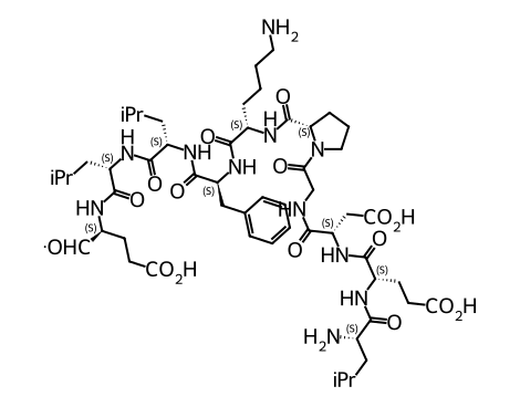 CC(C)C[C@H](NC(=O)[C@H](CC(C)C)NC(=O)[C@H](Cc1ccccc1)NC(=O)[C@H](CCCCN)NC(=O)[C@@H]1CCCN1C(=O)CNC(=O)[C@H](CC(=O)O)NC(=O)[C@H](CCC(=O)O)NC(=O)[C@@H](N)CC(C)C)C(=O)N[C@H]([C]=O)CCC(=O)O